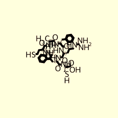 C[C@@H](NC(=O)[C@@H](N)CCS)C(=O)N[C@H](Cc1ccccc1)C(=O)N[C@@H](CCCNC(=N)N)C(=O)N[C@@H](Cc1c[nH]c2ccccc12)C(=O)N[C@@H](CS)C(=O)O